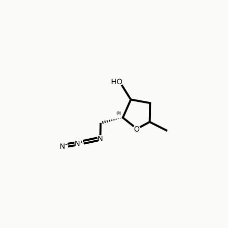 CC1CC(O)[C@@H](CN=[N+]=[N-])O1